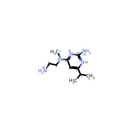 CC(C)c1cc(N(C)CCN)nc(N)n1